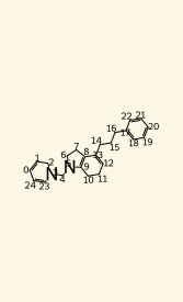 C1=CCN(CN2CCC3=C2CCC=C3CCCc2ccccc2)C=C1